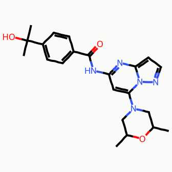 CC1CN(c2cc(NC(=O)c3ccc(C(C)(C)O)cc3)nc3ccnn23)CC(C)O1